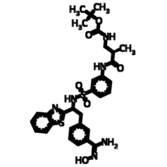 C[C@H](CNC(=O)OC(C)(C)C)C(=O)Nc1cccc(S(=O)(=O)NC(Cc2cccc(/C(N)=N\O)c2)c2nc3ccccc3s2)c1